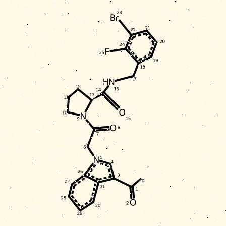 CC(=O)c1cn(CC(=O)N2CCC[C@H]2C(=O)NCc2cccc(Br)c2F)c2ccccc12